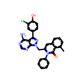 Cc1cccc2cc(Cn3nc(-c4ccc(O)c(Cl)c4)c4c(N)ncnc43)n(-c3ccccc3)c(=O)c12